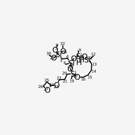 CO[Si](CC[Si]1(C)O[SiH](C)O[SiH](C)CCCCO[Si](C)(CCCOC2CCO2)O1)(OC)OC